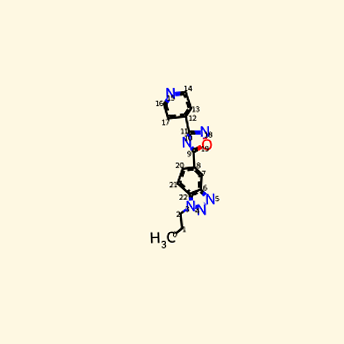 CCCn1nnc2cc(-c3nc(-c4ccncc4)no3)ccc21